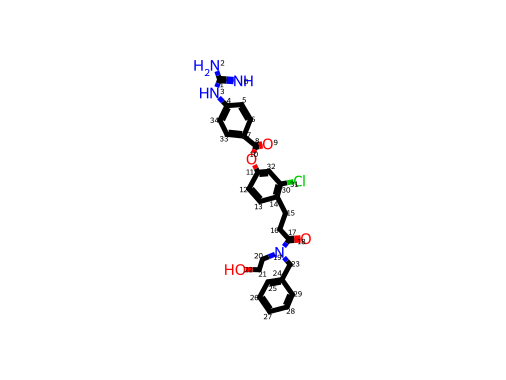 N=C(N)Nc1ccc(C(=O)Oc2ccc(CCC(=O)N(CCO)Cc3ccccc3)c(Cl)c2)cc1